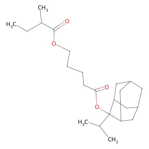 CCC(C)C(=O)OCCCCC(=O)OC1(C(C)C)C2CC3CC(C2)CC1C3